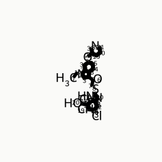 CCn1cc(C(=O)CSc2nc3cc(Cl)cc(C(C)(C)O)c3[nH]2)c2ccc(Oc3cccnc3)cc21